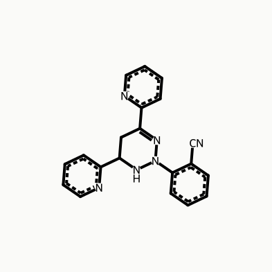 N#Cc1ccccc1N1N=C(c2ccccn2)CC(c2ccccn2)N1